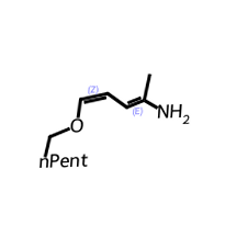 CCCCCCO/C=C\C=C(/C)N